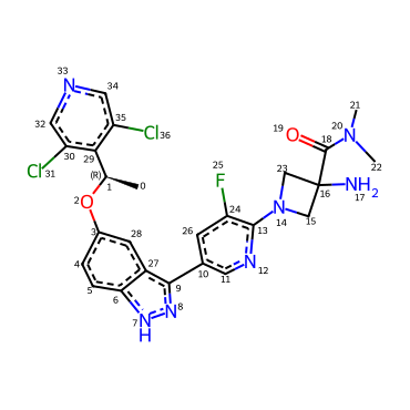 C[C@@H](Oc1ccc2[nH]nc(-c3cnc(N4CC(N)(C(=O)N(C)C)C4)c(F)c3)c2c1)c1c(Cl)cncc1Cl